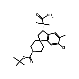 Cc1cc2c(cc1Cl)C1(CCN(C(=O)OC(C)(C)C)CC1)C[C@@H]2C(C)(C)C(N)=O